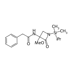 COC1(NC(=O)Cc2ccccc2)CN([Si](C)(C)C(C)C)C1=O